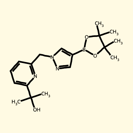 CC(C)(O)c1cccc(Cn2cc(B3OC(C)(C)C(C)(C)O3)cn2)n1